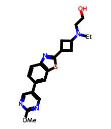 CCN(CCO)C1CC(c2nc3ccc(-c4cnc(OC)nc4)cc3s2)C1